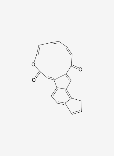 O=c1cc2c3ccc4c(c3cc-2c(=O)cccccco1)CC=C4